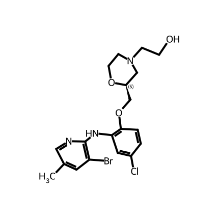 Cc1cnc(Nc2cc(Cl)ccc2OC[C@@H]2CN(CCO)CCO2)c(Br)c1